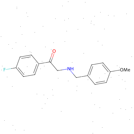 COc1ccc(CNCC(=O)c2ccc(F)cc2)cc1